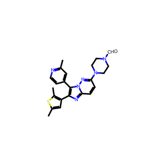 Cc1cc(-c2c(-c3cc(C)sc3C)nc3ccc(N4CCN(C=O)CC4)nn23)ccn1